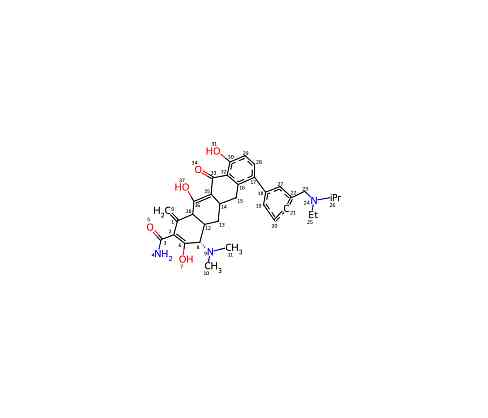 C=C1C(C(N)=O)=C(O)[C@@H](N(C)C)C2CC3Cc4c(-c5cccc(CN(CC)C(C)C)c5)ccc(O)c4C(=O)C3=C(O)C12